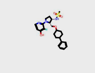 CS(=O)(=O)N[C@H]1CCN(c2nccc(O)c2F)[C@H]1COC1CCC(c2ccccc2)CC1